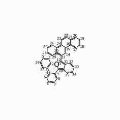 c1ccc(-c2ccccc2-c2oc(-c3cc4c5ccccc5ccc4c4ccccc34)c3ccccc23)cc1